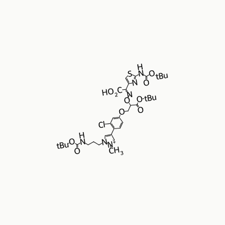 C[n+]1cc(-c2ccc(OCC(O/N=C(\C(=O)O)c3csc(NC(=O)OC(C)(C)C)n3)C(=O)OC(C)(C)C)cc2Cl)cn1CCCNC(=O)OC(C)(C)C